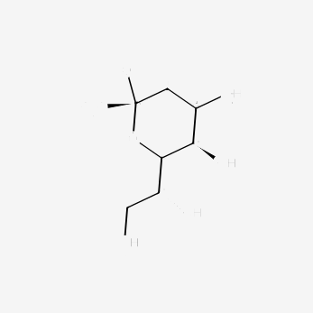 O=C(O)[C@@]1(O)CC(O)[C@@H](O)C([C@H](O)CO)O1